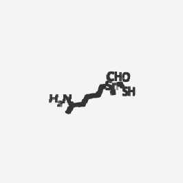 CC(N)CCC[CH2][Sn]([CH3])([CH]=O)[CH2]S